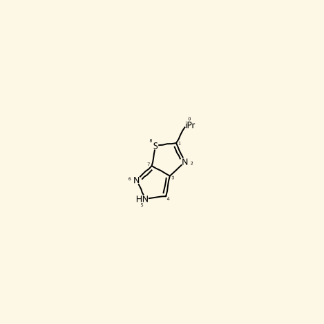 CC(C)c1nc2c[nH]nc2s1